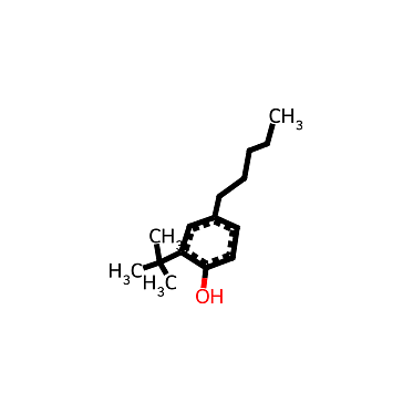 CCCCCc1ccc(O)c(C(C)(C)C)c1